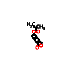 CCC(C)C(=O)OC1CC2CC1C1C3CC(C4C(=O)OCC34)C21